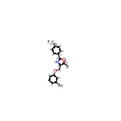 CC(=O)c1cccc(OCc2nc(-c3ccc(C(F)(F)F)cc3)oc2C)c1